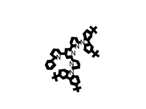 CC(C)(C)c1ccc2c(c1)c1cc(C(C)(C)C)ccc1n2-c1cccc(-c2cc(-c3cccc(-c4ccccc4)n3)cc(-c3cccc(-n4c5ccc(C(C)(C)C)cc5c5cc(C(C)(C)C)ccc54)n3)n2)n1